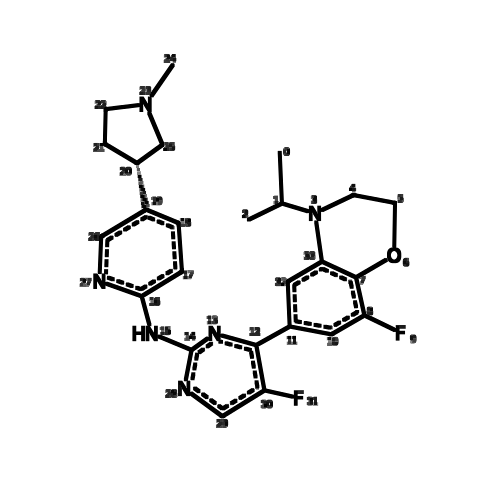 CC(C)N1CCOc2c(F)cc(-c3nc(Nc4ccc([C@@H]5CCN(C)C5)cn4)ncc3F)cc21